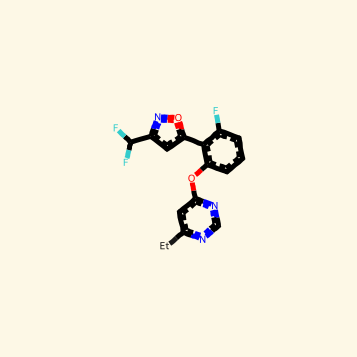 CCc1cc(Oc2cccc(F)c2-c2cc(C(F)F)no2)ncn1